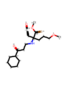 CCOCCCC(C=C=O)(NCCC(=O)C1CCCCC1)C(=S)OCC